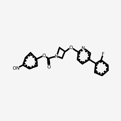 O=Nc1ccc(OC(=O)N2CC(Oc3ccc(-c4ccccc4F)cn3)C2)cc1